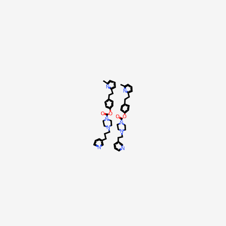 Cc1cccc(CCc2ccc(OC(=O)N3CCN(CCCc4cccnc4)CC3)cc2)n1.Cc1cccc(CCc2ccc(OC(=O)N3CCN(CCc4cccnc4)CC3)cc2)n1